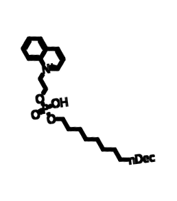 CCCCCCCCCCCCCCCCCCOP(=O)(O)OCC[n+]1cccc2ccccc21